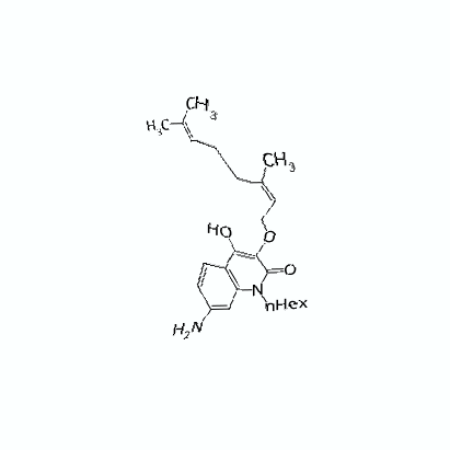 CCCCCCn1c(=O)c(OCC=C(C)CCC=C(C)C)c(O)c2ccc(N)cc21